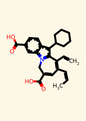 C=CC1=C(/C=C\C)C=C(C(=O)O)Cn2c1c(C1CCCCC1)c1ccc(C(=O)O)cc12